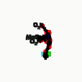 COc1ccc(CN(C(=O)C2=C(c3ccc(OCCCCOc4c(F)cc(C)cc4Cl)cc3)CC3CN(C(=O)OCCCCO[N+](=O)[O-])CC2N3C(=O)OCCCCO[N+](=O)[O-])C2CC2)cc1C